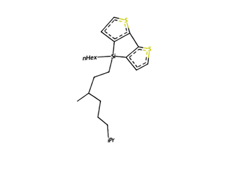 CCCCCC[Si]1(CCC(C)CCCC(C)C)c2ccsc2-c2sccc21